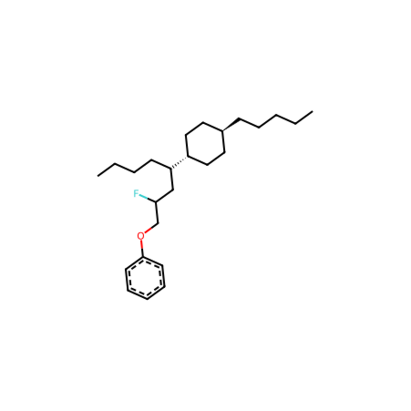 CCCCC[C@H]1CC[C@H](C(CCCC)CC(F)COc2ccccc2)CC1